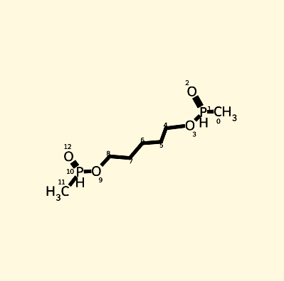 C[PH](=O)OCCCCCO[PH](C)=O